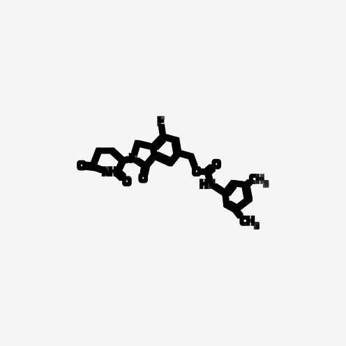 Cc1cc(C)cc(NC(=O)OCc2cc(F)c3c(c2)C(=O)N(C2CCC(=O)NC2=O)C3)c1